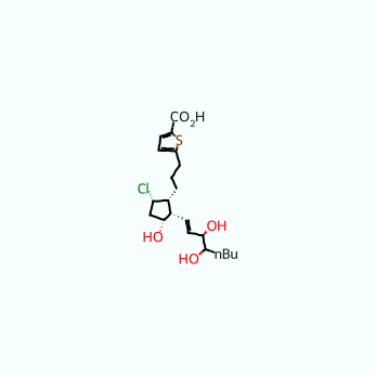 CCCCC(O)[C@H](O)C=C[C@H]1[C@@H](CCCc2ccc(C(=O)O)s2)[C@@H](Cl)C[C@H]1O